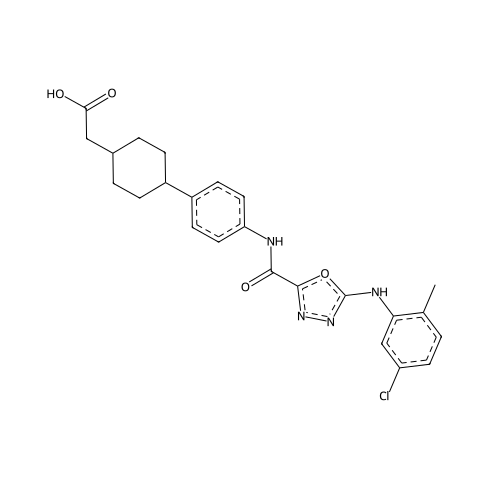 Cc1ccc(Cl)cc1Nc1nnc(C(=O)Nc2ccc(C3CCC(CC(=O)O)CC3)cc2)o1